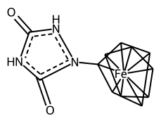 O=c1[nH]c(=O)n([C]23[CH]4[CH]5[CH]6[CH]2[Fe]56432789[CH]3[CH]2[CH]7[CH]8[CH]39)[nH]1